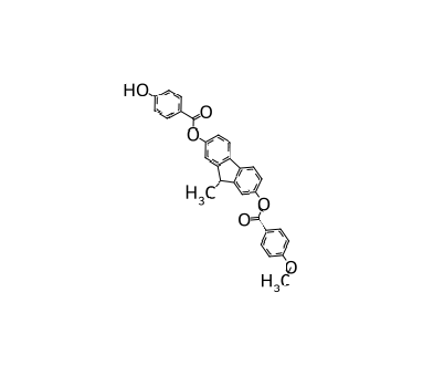 COc1ccc(C(=O)Oc2ccc3c(c2)C(C)c2cc(OC(=O)c4ccc(O)cc4)ccc2-3)cc1